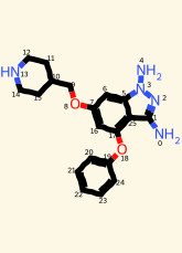 Nc1nn(N)c2cc(OCC3CCNCC3)cc(Oc3ccccc3)c12